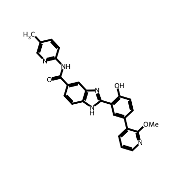 COc1ncccc1-c1ccc(O)c(-c2nc3cc(C(=O)Nc4ccc(C)cn4)ccc3[nH]2)c1